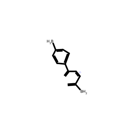 BC(=C)/C=C\C(=C)c1ccc(B)cc1